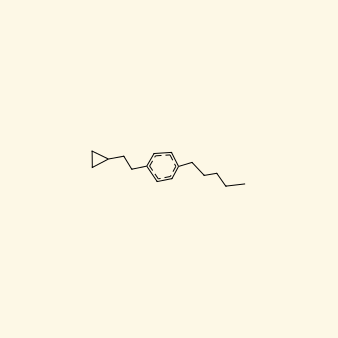 CCCCCc1ccc(CCC2CC2)cc1